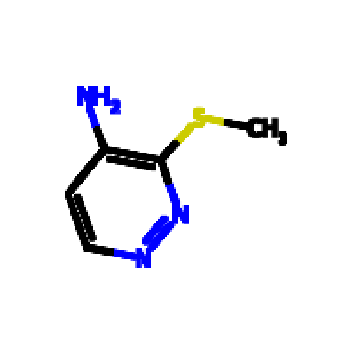 CSc1nnccc1N